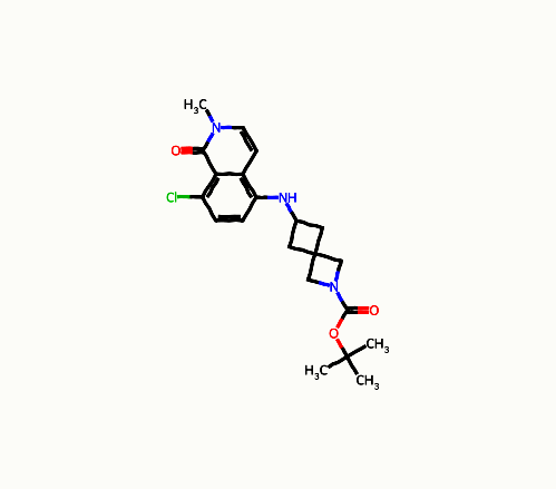 Cn1ccc2c(NC3CC4(C3)CN(C(=O)OC(C)(C)C)C4)ccc(Cl)c2c1=O